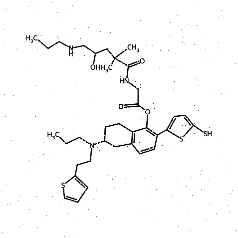 CCCNCC(O)CC(C)(C)C(=O)NCC(=O)Oc1c(-c2ccc(S)s2)ccc2c1CCC(N(CCC)CCc1cccs1)C2